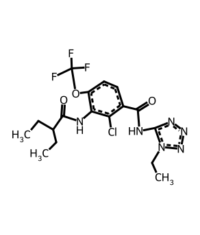 CCC(CC)C(=O)Nc1c(OC(F)(F)F)ccc(C(=O)Nc2nnnn2CC)c1Cl